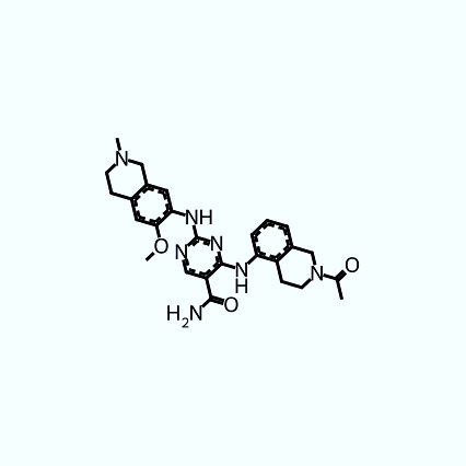 COc1cc2c(cc1Nc1ncc(C(N)=O)c(Nc3cccc4c3CCN(C(C)=O)C4)n1)CN(C)CC2